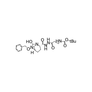 CC(C)(C)OC(=O)NCCC(=O)NNC(=O)[C@@H]1CC[C@@H]2CN1C(O)N2OCc1ccccc1